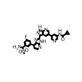 CS(=O)(=O)C(N)c1cc(F)cc(-c2ccnc3[nH]c(-c4n[nH]c5ncc(-c6cncc(NC(=O)C7CC7)c6)cc45)nc23)c1